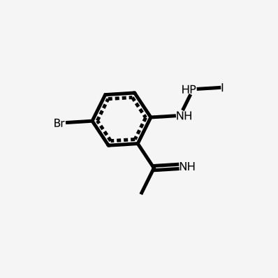 CC(=N)c1cc(Br)ccc1NPI